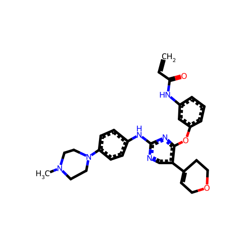 C=CC(=O)Nc1cccc(Oc2nc(Nc3ccc(N4CCN(C)CC4)cc3)ncc2C2=CCOCC2)c1